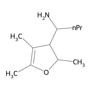 CCCC(N)C1C(C)=C(C)OC1C